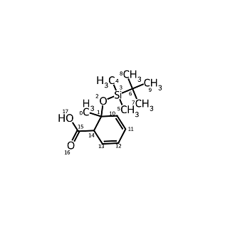 CC1(O[Si](C)(C)C(C)(C)C)C=CC=CC1C(=O)O